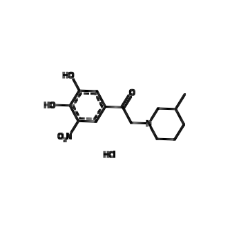 CC1CCCN(CC(=O)c2cc(O)c(O)c([N+](=O)[O-])c2)C1.Cl